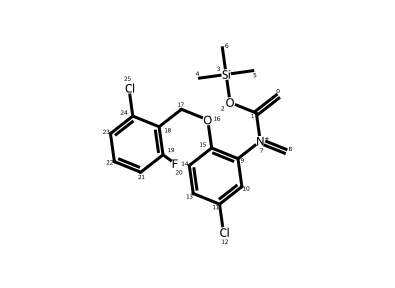 C=C(O[Si](C)(C)C)[N+](=C)c1cc(Cl)ccc1OCc1c(F)cccc1Cl